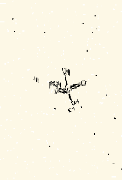 I.O=S(=O)(O)O.[KH].[NaH]